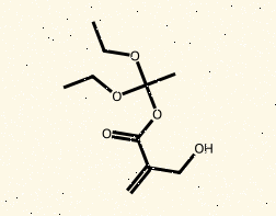 C=C(CO)C(=O)OC(C)(OCC)OCC